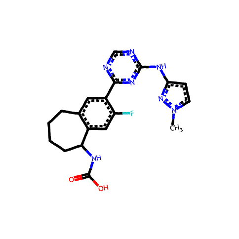 Cn1ccc(Nc2ncnc(-c3cc4c(cc3F)C(NC(=O)O)CCCC4)n2)n1